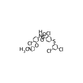 CN1CCC(Oc2cc(NS(=O)(=O)c3ccc(Sc4cc(Cl)cc(Cl)c4)cc3Cl)ccc2Cl)C1